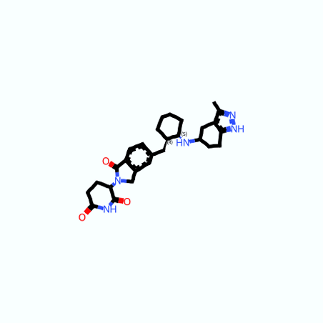 Cc1n[nH]c2c1CC(N[C@H]1CCCC[C@@H]1Cc1ccc3c(c1)CN(C1CCC(=O)NC1=O)C3=O)CC2